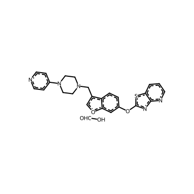 O=CO.c1cnc2nc(Oc3ccc4c(CN5CCN(c6ccncc6)CC5)coc4c3)sc2c1